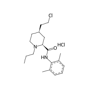 CCCN1CC[C@@H](CCCl)C[C@H]1C(=O)Nc1c(C)cccc1C.Cl